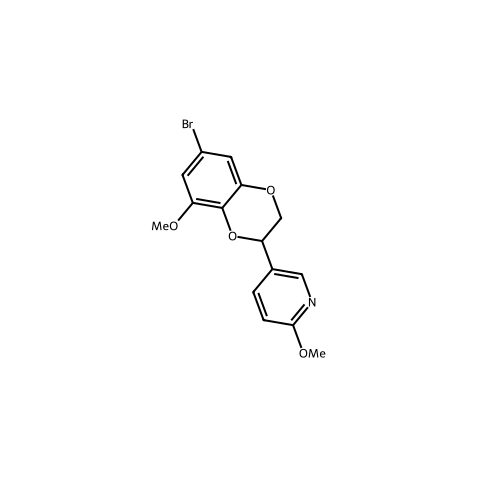 COc1ccc(C2COc3cc(Br)cc(OC)c3O2)cn1